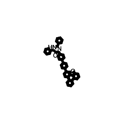 c1ccc(C2=Nc3c(oc4cc(-c5ccc(-c6ccc7c8ccccc8c8cccc9oc6c7c98)cc5)ccc34)C(c3ccccc3)N2)cc1